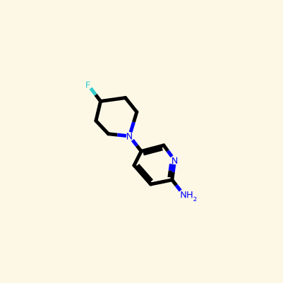 Nc1ccc(N2CCC(F)CC2)cn1